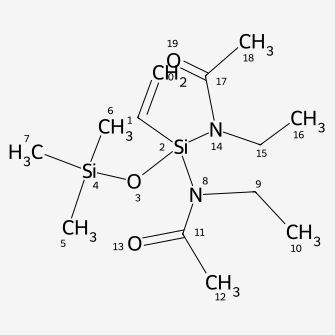 C=C[Si](O[Si](C)(C)C)(N(CC)C(C)=O)N(CC)C(C)=O